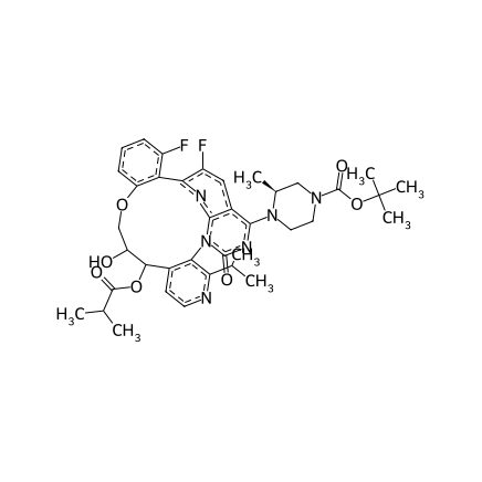 CC(C)C(=O)OC1c2ccnc(C(C)C)c2-n2c(=O)nc(N3CCN(C(=O)OC(C)(C)C)C[C@@H]3C)c3cc(F)c(nc32)-c2c(F)cccc2OCC1O